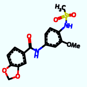 COc1cc(NC(=O)c2ccc3c(c2)OCO3)ccc1NS(C)(=O)=O